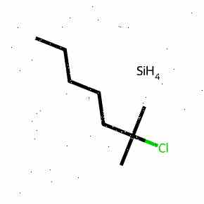 CCCCCC(C)(C)Cl.[SiH4]